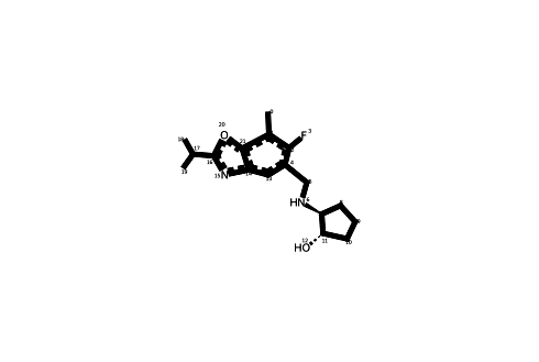 Cc1c(F)c(CN[C@H]2CCC[C@@H]2O)cc2nc(C(C)C)oc12